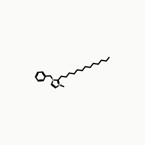 CCCCCCCCCCCCCc1n(Cc2ccccc2)cc[n+]1C